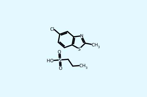 CCCS(=O)(=O)O.Cc1nc2cc(Cl)ccc2s1